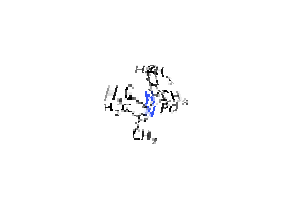 CCCCCCC(=Nc1ccc(CCCC)c(CCCC)c1)C(CCCC)=Nc1ccc(CCCC)c(CCCC)c1.[Pd]